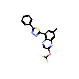 Cc1cc(-c2nnc(-c3ccccc3)s2)c2ncc(OC(F)F)nc2c1